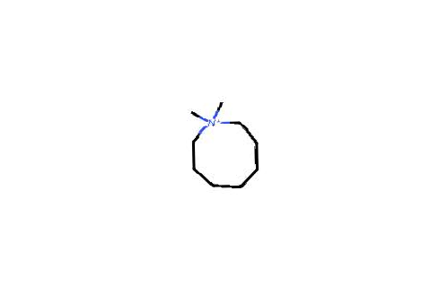 C[N+]1(C)CCCCCCC1